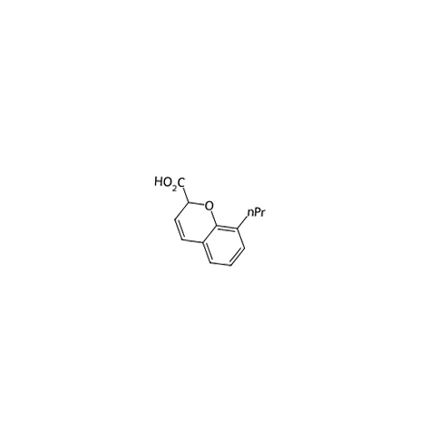 CCCc1cccc2c1OC(C(=O)O)C=C2